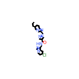 C/C=C\c1ccc2nc(Cn3cc(C(=O)NCc4ncn5ccc(Cl)cc45)cn3)cn2c1